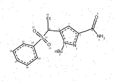 CCCCn1nc(C(N)=O)cc1C(CC)S(=O)(=O)c1ccccc1